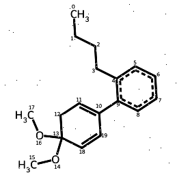 CCCCc1ccccc1C1=CCC(OC)(OC)C=C1